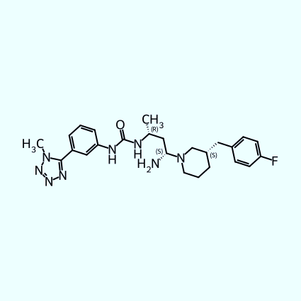 C[C@H](C[C@@H](N)N1CCC[C@@H](Cc2ccc(F)cc2)C1)NC(=O)Nc1cccc(-c2nnnn2C)c1